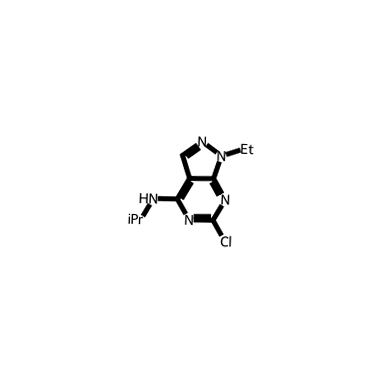 CCn1ncc2c(NC(C)C)nc(Cl)nc21